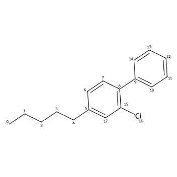 CCCCCc1ccc(-c2ccccc2)c(Cl)c1